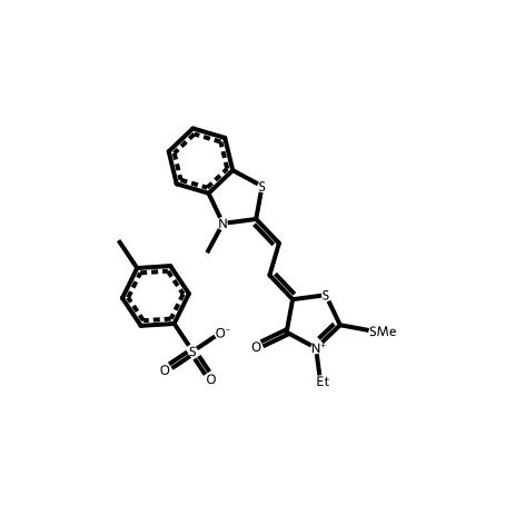 CC[N+]1=C(SC)SC(=CC=C2Sc3ccccc3N2C)C1=O.Cc1ccc(S(=O)(=O)[O-])cc1